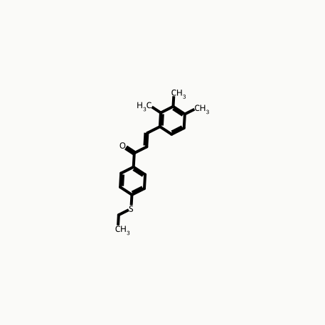 CCSc1ccc(C(=O)C=Cc2ccc(C)c(C)c2C)cc1